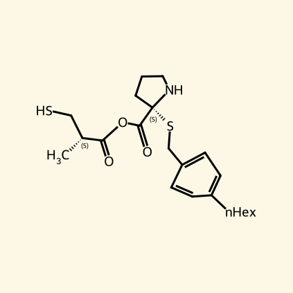 CCCCCCc1ccc(CS[C@]2(C(=O)OC(=O)[C@H](C)CS)CCCN2)cc1